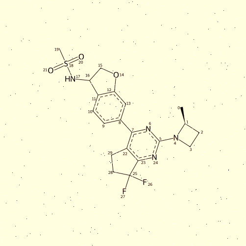 C[C@H]1CCN1c1nc(-c2ccc3c(c2)OCC3NS(C)(=O)=O)c2c(n1)C(F)(F)CC2